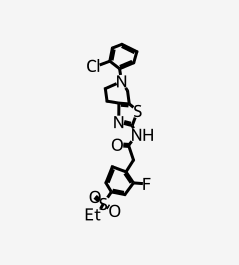 CCS(=O)(=O)c1ccc(CC(=O)Nc2nc3c(s2)CN(c2ccccc2Cl)CC3)c(F)c1